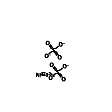 O=S(=O)([O-])[O-].O=S(=O)([O-])[O-].[Ca+2].[Ni+2]